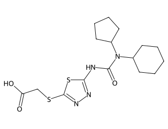 O=C(O)CSc1nnc(NC(=O)N(C2CCCCC2)C2CCCC2)s1